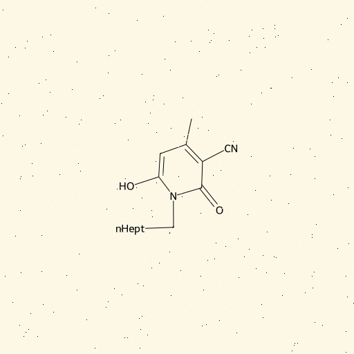 CCCCCCCCn1c(O)cc(C)c(C#N)c1=O